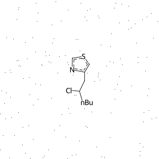 CCCCC(Cl)Cc1cscn1